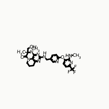 CNc1nc(C(F)(F)F)ccc1Oc1ccc(CNc2nc3c4c(n2)N(C)[C@@](C)(CO)C(=O)N4CCC3)cn1